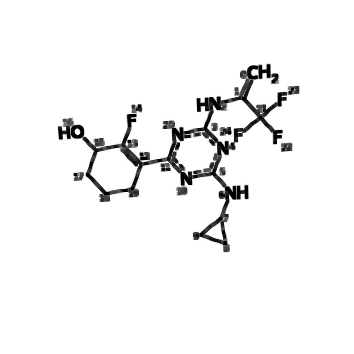 C=C(Nc1nc(NC2CC2)nc(C2=C(F)C(O)CCC2)n1)C(F)(F)F